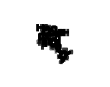 Cc1cc(C)cc(COc2ccc(N(C(=O)C(F)(F)F)C3(CC(=O)NO)CCNCC3)cc2)c1